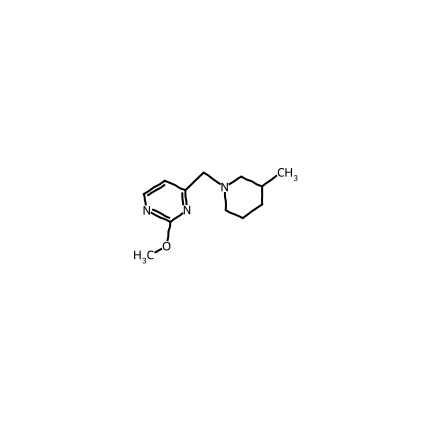 COc1nccc(CN2CCCC(C)C2)n1